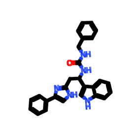 O=C(NCc1ccccc1)NC(Cc1nc(-c2ccccc2)c[nH]1)c1c[nH]c2ccccc12